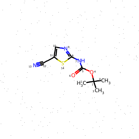 CC(C)(C)OC(=O)Nc1ncc(C#N)s1